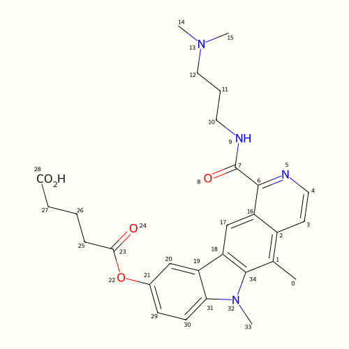 Cc1c2ccnc(C(=O)NCCCN(C)C)c2cc2c3cc(OC(=O)CCCC(=O)O)ccc3n(C)c12